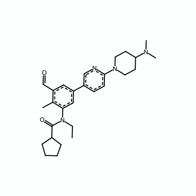 CCN(C(=O)C1CCCC1)c1cc(-c2ccc(N3CCC(N(C)C)CC3)nc2)cc(C=O)c1C